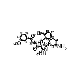 CNc1nc(N2CCCC(N)C2)n(Cc2ccccc2Br)c1C(=O)NCC(=O)c1cccc(OC)c1